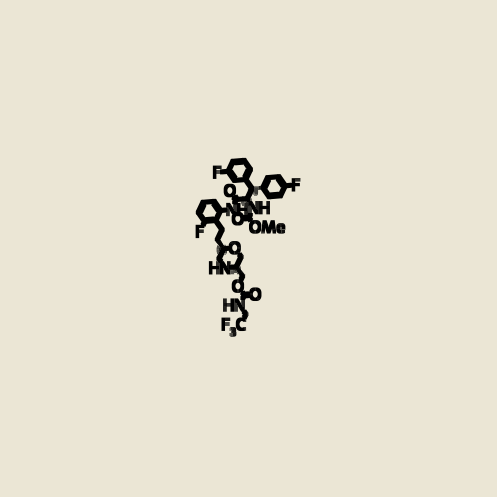 COC(=O)N[C@H](C(=O)Nc1cccc(F)c1CC[C@@H]1CN[C@H](COC(=O)NCC(F)(F)F)CO1)[C@@H](c1ccc(F)cc1)c1cccc(F)c1